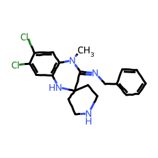 CN1/C(=N/Cc2ccccc2)C2(CCNCC2)Nc2cc(Cl)c(Cl)cc21